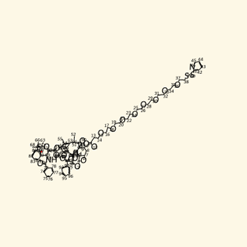 CC(=O)O[C@@]12COC1CC(OC(=O)CCOCCOCCOCCOCCOCCOCCOCCOCCSSc1ccccn1)[C@@]1(C)C(=O)[C@H](C)C3=C(C)C(OC(=O)[C@H](O[Si](C)(C)C(C)(C)C)C(NC(=O)c4ccccc4)c4ccccc4)C[C@@](O)([C@@H](OC(=O)c4ccccc4)[C@H]21)C3(C)C